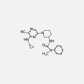 CN(C(=O)NC1CCCN(c2cnc(C#N)c(NC3CC3)n2)C1)c1ccccc1